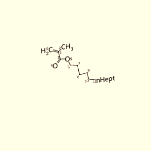 C=C(C)C(=O)O[CH]CCCCCCCCCCC